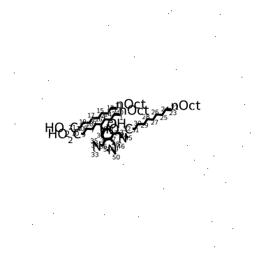 CCCCCCCCC=CCCCCCCCC(=O)O.CCCCCCCCC=CCCCCCCCC(=O)O.CCCCCCCCC=CCCCCCCCC(=O)O.CN(C)Cc1ccc(O)c(CN(C)C)c1CN(C)C